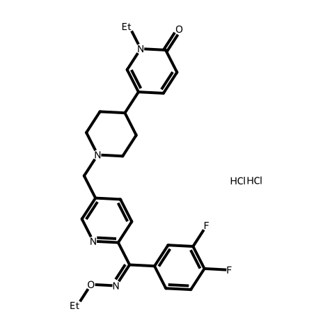 CCON=C(c1ccc(F)c(F)c1)c1ccc(CN2CCC(c3ccc(=O)n(CC)c3)CC2)cn1.Cl.Cl